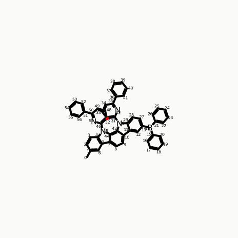 Cc1ccc2c(c1)c1ccc3c4cc(B(c5ccccc5)c5ccccc5)ccc4n(-c4cccc(-c5ccccc5)n4)c3c1n2-c1cccc(-c2ccccc2)n1